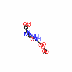 COc1cc(-c2cnc3ccc(NC(=O)NCCCCOC(=O)OCC4COC(C)(C)O4)nc3n2)ccc1O